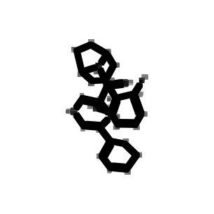 O=C(C1=COC=C(C2=CC=CCC2)O1)N1C2CCC1CC(c1c(F)cccc1F)C2